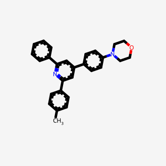 Cc1ccc(-c2cc(-c3ccc(N4CCOCC4)cc3)cc(-c3ccccc3)n2)cc1